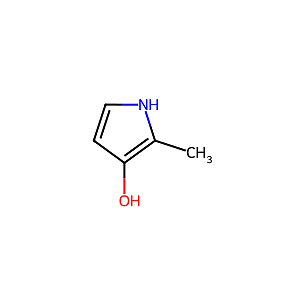 Cc1[nH]ccc1O